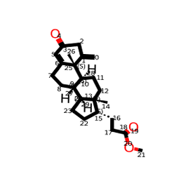 C=C1CC(=O)C=C2CC[C@@H]3[C@H](CC[C@]4(C)[C@H](CCC(=O)OC)CC[C@@H]34)[C@@]12C